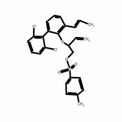 C=CC(COS(=O)(=O)c1ccc(C)cc1)Oc1c(C=CC)cccc1-c1c(Cl)cccc1Cl